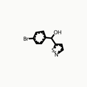 OC(c1ccc(Br)cc1)c1ccns1